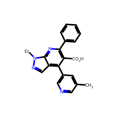 CCn1ncc2c(-c3cncc(C)c3)c(C(=O)O)c(-c3ccccc3)nc21